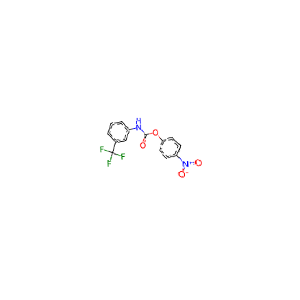 O=C(Nc1cccc(C(F)(F)F)c1)Oc1ccc([N+](=O)[O-])cc1